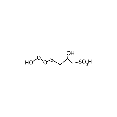 O=S(=O)(O)CC(O)CSOOO